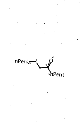 [CH2]CCCCCCC(=O)CCCCC